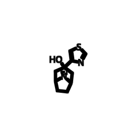 OC1(c2cscn2)CC2CCC(C1)N2Cl